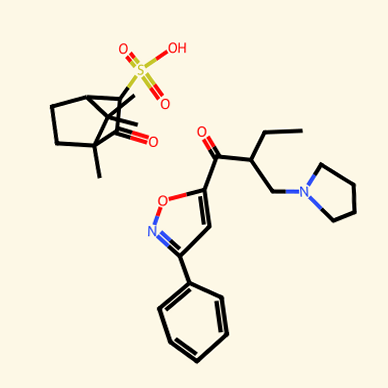 CC12CCC(C(S(=O)(=O)O)C1=O)C2(C)C.CCC(CN1CCCC1)C(=O)c1cc(-c2ccccc2)no1